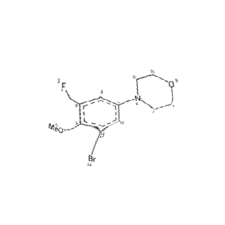 COc1c(F)cc(N2CCOCC2)cc1Br